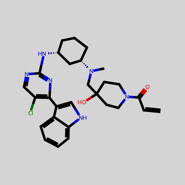 C=CC(=O)N1CCC(O)(CN(C)[C@H]2CCC[C@@H](Nc3ncc(Cl)c(-c4c[nH]c5ccccc45)n3)C2)CC1